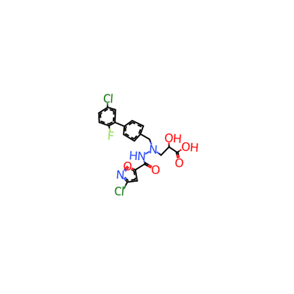 O=C(NN(Cc1ccc(-c2cc(Cl)ccc2F)cc1)CC(O)C(=O)O)c1cc(Cl)no1